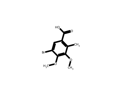 COc1c(Br)cc(C(=O)O)c(C)c1OC